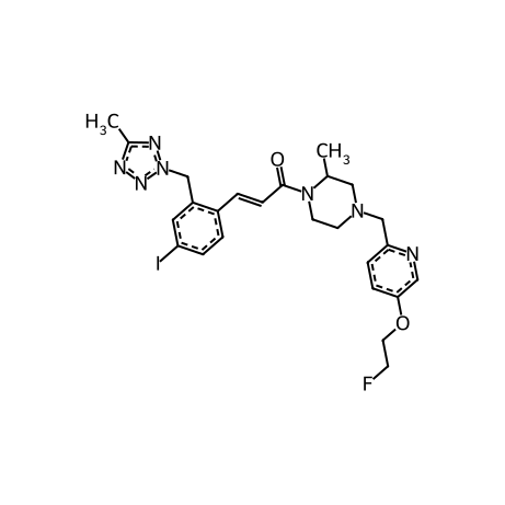 Cc1nnn(Cc2cc(I)ccc2/C=C/C(=O)N2CCN(Cc3ccc(OCCF)cn3)CC2C)n1